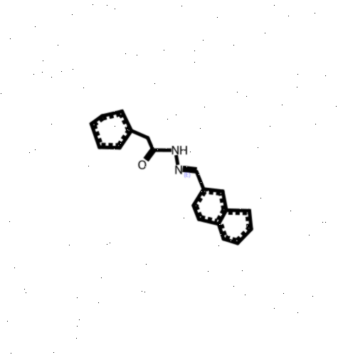 O=C(Cc1ccccc1)N/N=C/c1ccc2ccccc2c1